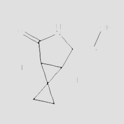 O=C1N[C@H](CO)[C@@H]2[C@H]1C21CC1